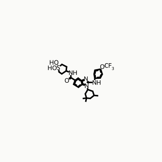 CC1CC(n2c(Nc3ccc(OC(F)(F)F)cc3)nc3cc(C(=O)NC4CCS(O)(O)CC4)ccc32)CC(C)(C)C1